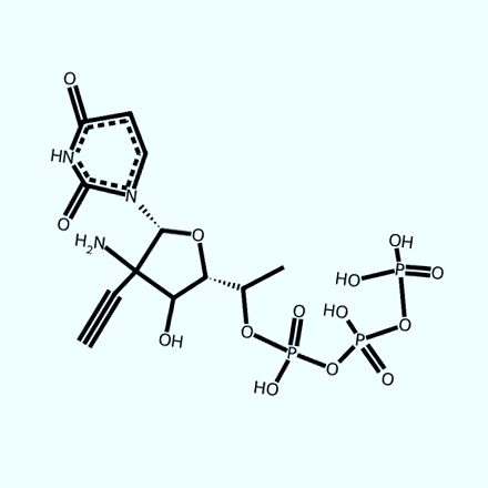 C#CC1(N)C(O)[C@@H](C(C)OP(=O)(O)OP(=O)(O)OP(=O)(O)O)O[C@H]1n1ccc(=O)[nH]c1=O